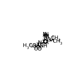 C=C(C)COc1ccc(-c2ncc(C(=O)OCC)c(=O)[nH]2)cc1-n1cnnn1